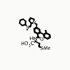 CSCC[C@H](NC(=O)c1ccc(CN2CCCC2CN(C)C2CCCCC2)cc1-c1ccccc1C)C(=O)O